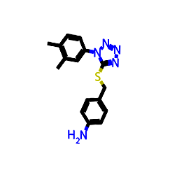 Cc1ccc(-n2nnnc2SCc2ccc(N)cc2)cc1C